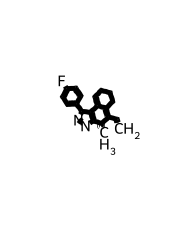 C=CC1=C2CCCC=C2C2=C(N=NC2c2ccc(F)cc2)[C@@H]1C